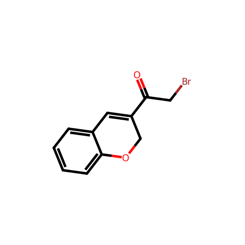 O=C(CBr)C1=Cc2ccccc2OC1